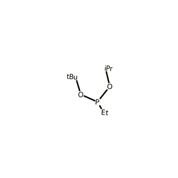 CCP(OC(C)C)OC(C)(C)C